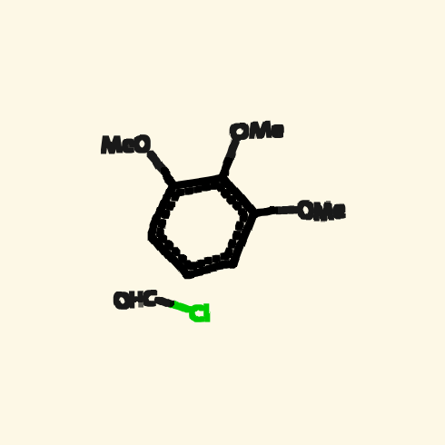 COc1cccc(OC)c1OC.O=CCl